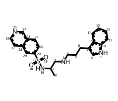 CC(CNCCCc1c[nH]c2ccccc12)NS(=O)(=O)c1ccc2cnccc2c1